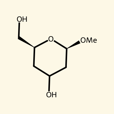 CO[C@H]1CC(O)C[C@@H](CO)O1